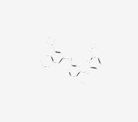 CN1CCc2c(cc(Nc3ncc(C#N)c(Nc4cccc(N=S(C)(C)=O)n4)n3)cc2C2CCC2)C1